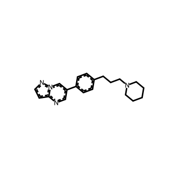 c1cc2ncc(-c3ccc(CCCN4CCCCC4)cc3)cn2n1